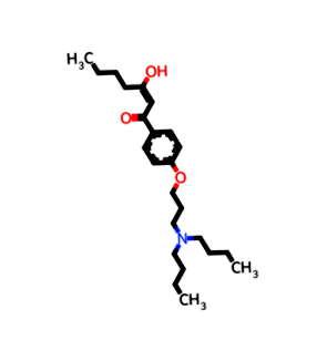 CCCC/C(O)=C\C(=O)c1ccc(OCCCN(CCCC)CCCC)cc1